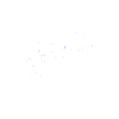 CCc1cc2c(N3CCN(C(=O)OC(C)(C)C)CC3C(C)C)ncnc2s1